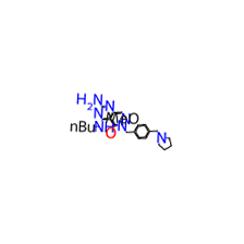 CCCCNc1nc(N)nc2cnn(Cc3ccc(CN4CCCC4)cc3OC)c(=O)c12